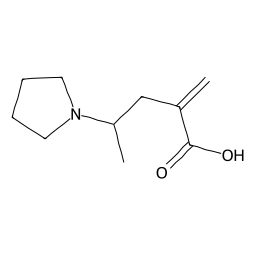 C=C(CC(C)N1CCCC1)C(=O)O